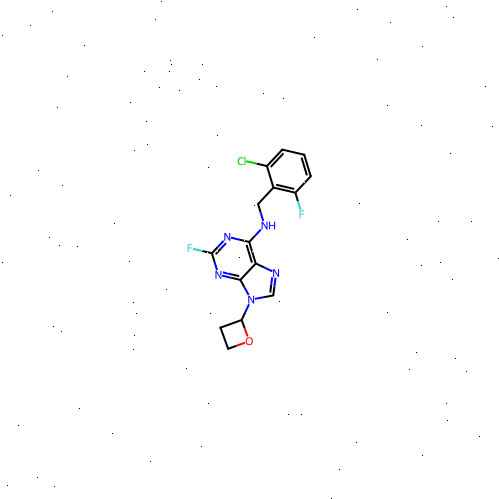 Fc1nc(NCc2c(F)cccc2Cl)c2ncn(C3CCO3)c2n1